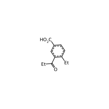 CCC(=O)c1cc(C(=O)O)ccc1CC